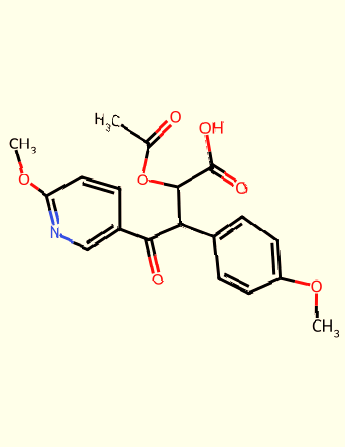 COc1ccc(C(C(=O)c2ccc(OC)nc2)C(OC(C)=O)C(=O)O)cc1